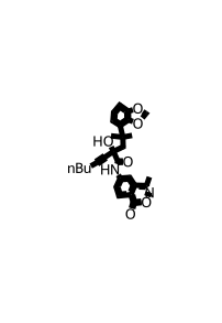 CCCCC#CC(O)(CC(C)(C)c1cccc2c1OCO2)C(=O)Nc1ccc2c(=O)onc(C)c2c1